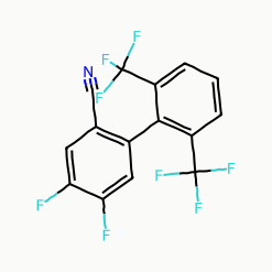 N#Cc1cc(F)c(F)cc1-c1c(C(F)(F)F)cccc1C(F)(F)F